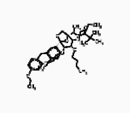 CCCCO[C@@H]1[C@@H](OCCCC)[C@@]2(c3ccc(Cl)c(Cc4ccc(OCC)cc4)c3)OC[C@](C(C)OC(=O)C(C)(C)C)(O2)[C@H]1OCCCC